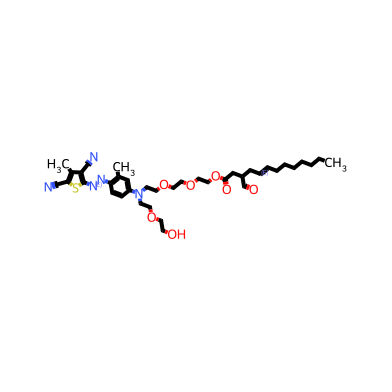 CCCCCCC/C=C/CC(C=O)CC(=O)OCCOCCOCCN(CCOCCO)c1ccc(/N=N/c2sc(C#N)c(C)c2C#N)c(C)c1